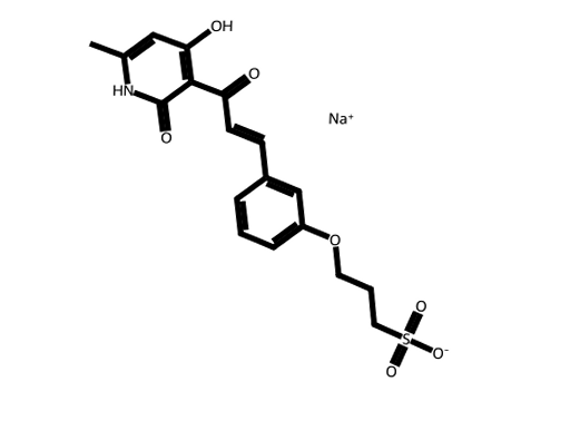 Cc1cc(O)c(C(=O)C=Cc2cccc(OCCCS(=O)(=O)[O-])c2)c(=O)[nH]1.[Na+]